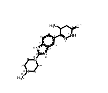 CC1CC(=O)NN=C1c1ccc2nc(N3CCN(C)CC3)oc2c1